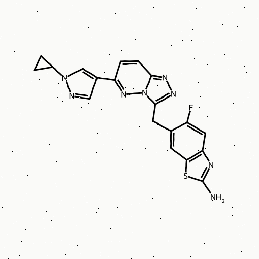 Nc1nc2cc(F)c(Cc3nnc4ccc(-c5cnn(C6CC6)c5)nn34)cc2s1